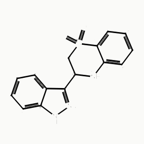 O=S1(=O)[C]C(c2n[nH]c3ccccc23)Nc2ccccc21